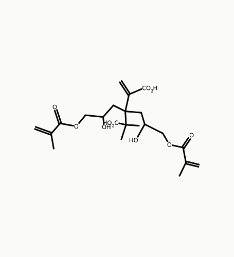 C=C(C)C(=O)OCC(O)CC(CC(O)COC(=O)C(=C)C)(C(=C)C(=O)O)C(C)(C)C(=O)O